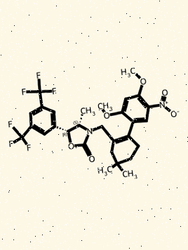 COc1cc(OC)c([N+](=O)[O-])cc1C1=C(CN2C(=O)O[C@H](c3cc(C(F)(F)F)cc(C(F)(F)F)c3)[C@@H]2C)CC(C)(C)CC1